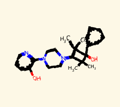 CC1(C)C(N2CCN(c3ncccc3O)CC2)C(C)(C)C1(O)c1ccccc1